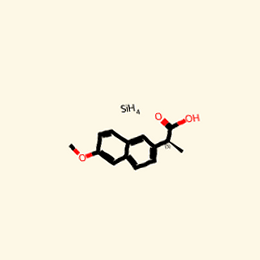 COc1ccc2cc([C@H](C)C(=O)O)ccc2c1.[SiH4]